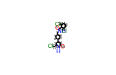 O=C(NCc1ccc(-c2cc(CCl)[nH]c(=O)c2)cc1)c1c(Cl)cccc1Cl